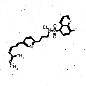 C/C=C(C)/C=C\C=C\c1ccc(CCCN(CC)S(=O)(=O)C2C=CC(F)=C3N=CC=CC32)nc1